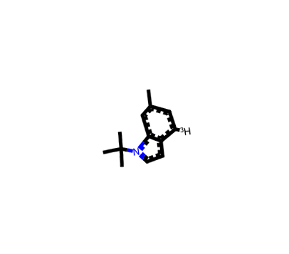 [3H]c1cc(C)cc2c1ccn2C(C)(C)C